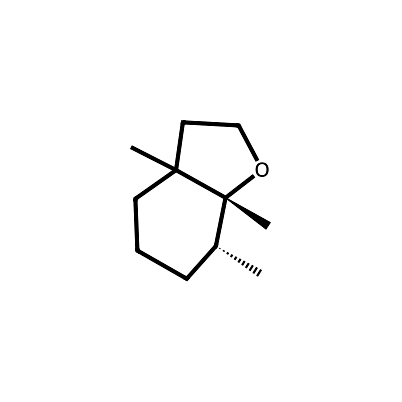 C[C@@H]1CCCC2(C)CCO[C@]12C